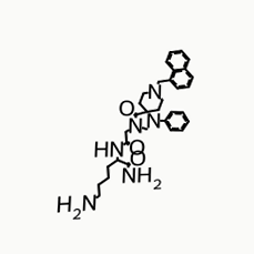 NCCCCC(NC(=O)CN1CN(c2ccccc2)C2(CCN(Cc3cccc4ccccc34)CC2)C1=O)C(N)=O